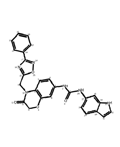 O=C(Nc1ccc2c(c1)OCC(=O)N2Cc1nc(-c2ccccc2)no1)Nc1ccc2cc[nH]c2c1